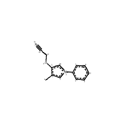 Cc1cn(-c2ccccc2)cc1OCC#N